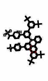 CC(C1=CC=C(c2cc(-c3cc(C(C)(C)C)cc(C(C)(C)C)c3)cc(N(c3cc(-c4cc(C(C)(C)C)cc(C(C)(C)C)c4)cc(-c4ccc([Si](C)(C)C)cn4)c3)c3ccccc3-c3ccccc3)c2)NC1)S(C)(=O)=O